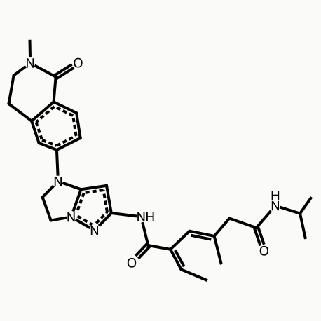 C/C=C(\C=C(/C)CC(=O)NC(C)C)C(=O)Nc1cc2n(n1)CCN2c1ccc2c(c1)CCN(C)C2=O